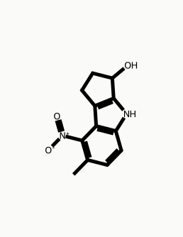 Cc1ccc2[nH]c3c(c2c1[N+](=O)[O-])CCC3O